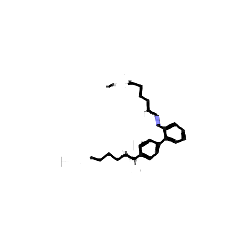 CCCCC[C@@H](O)[C@H](O)c1ccc(-c2ccccc2/C=C/[C@@H](O)CCCC(=O)OCI)cc1